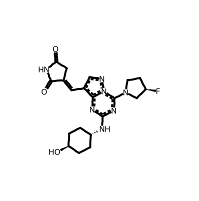 O=C1C/C(=C\c2cnn3c(N4CC[C@@H](F)C4)nc(N[C@H]4CC[C@H](O)CC4)nc23)C(=O)N1